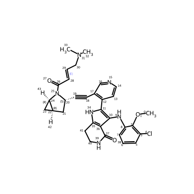 COc1c(Cl)cccc1Nc1c(-c2ccncc2C#C[C@@H]2C[C@H]3C[C@H]3N2C(=O)/C=C/CN(C)C)[nH]c2c1C(=O)NCC2